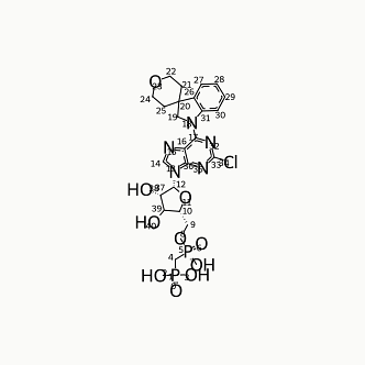 O=P(O)(O)CP(=O)(O)OC[C@H]1O[C@@H](n2cnc3c(N4CC5(CCOCC5)c5ccccc54)nc(Cl)nc32)[C@@H](O)C1O